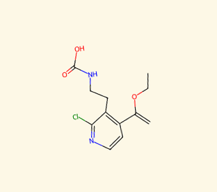 C=C(OCC)c1ccnc(Cl)c1CCNC(=O)O